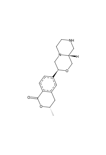 C[C@H]1Cc2cc([C@H]3CN4CCNC[C@@H]4CO3)ccc2C(=O)O1